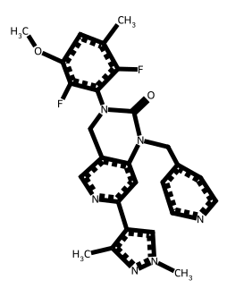 COc1cc(C)c(F)c(N2Cc3cnc(-c4cn(C)nc4C)cc3N(Cc3ccncc3)C2=O)c1F